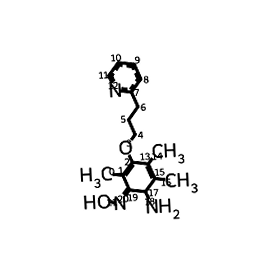 CC1=C(OCCCc2ccccn2)C(C)=C(C)C(N)C1=NO